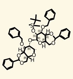 CC(C)(C)[Si](C)(C)O[C@@H]1[C@H](O[C@@H]2[CH]O[C@@H]3COC(c4ccccc4)O[C@H]3[C@@H]2OCc2ccccc2)O[C@@H]2COC(c3ccccc3)O[C@H]2[C@@H]1OCc1ccccc1